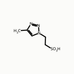 Cc1cn(CCS(=O)(=O)O)nn1